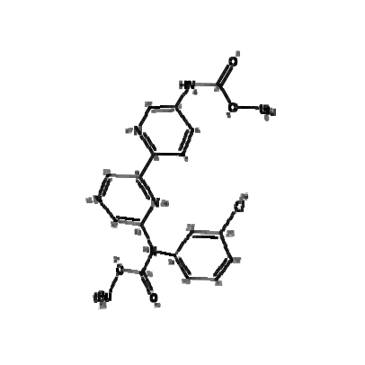 CC(C)(C)OC(=O)Nc1ccc(-c2cncc(N(C(=O)OC(C)(C)C)c3cccc(Cl)c3)n2)nc1